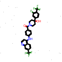 O=C(c1ccc(Nc2ccnc3cc(C(F)(F)F)ccc23)cc1)N1CCC(O)(c2ccc(C(F)(F)F)c(F)c2)CC1